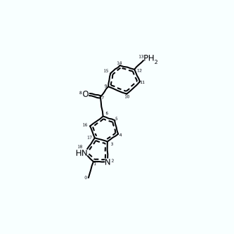 Cc1nc2ccc(C(=O)c3ccc(P)cc3)cc2[nH]1